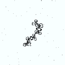 CCC1(COC(=O)c2ccc(C(=O)OCCCOC(=O)c3ccc(C(=O)OCC4(CC)COC4)cc3)cc2)COC1